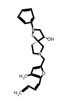 C=C/C=C\c1oc(CN2CC[C@]3(C2)SN(c2ccccc2)C[C@@H]3O)cc1C